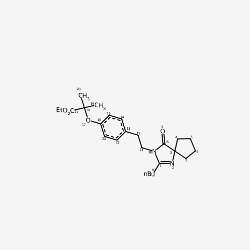 CCCCC1=NC2(CCCC2)C(=O)N1CCc1ccc(OC(C)(C)C(=O)OCC)cc1